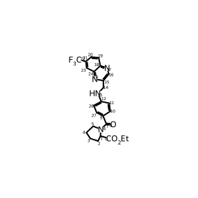 CCOC(=O)C1CCCCN1C(=O)c1ccc(NCc2cnc3ccc(C(F)(F)F)cc3n2)cc1